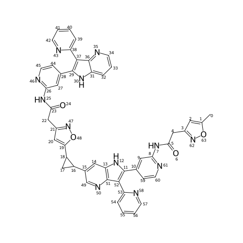 Cc1cc(CC(=O)Nc2cc(-c3[nH]c4cc(C5CC5c5cc(CC(=O)Nc6cc(-c7[nH]c8cccnc8c7-c7ccccn7)ccn6)no5)cnc4c3-c3ccccn3)ccn2)no1